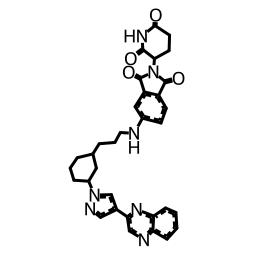 O=C1CCC(N2C(=O)c3ccc(NCCCC4CCCC(n5cc(-c6cnc7ccccc7n6)cn5)C4)cc3C2=O)C(=O)N1